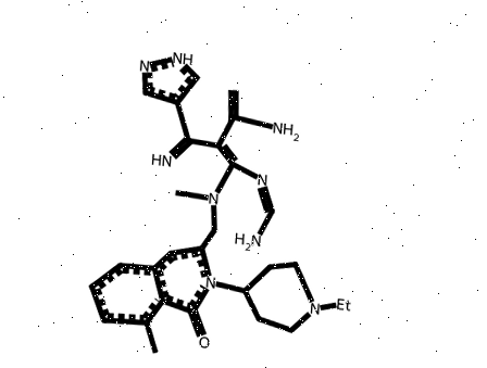 C=C(N)/C(C(=N)c1cn[nH]c1)=C(\N=C/N)N(C)Cc1cc2cccc(C)c2c(=O)n1C1CCN(CC)CC1